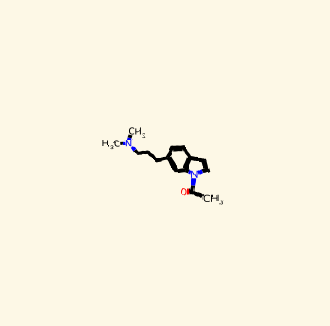 CC(=O)N1CCc2ccc(CCCN(C)C)cc21